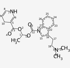 CC(OC(=O)C1=CNC=CC1)OC(=O)n1cc(CCN(C)C)c2ccccc21